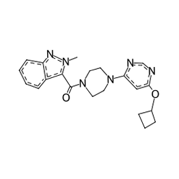 Cn1nc2ccccc2c1C(=O)N1CCN(c2cc(OC3CCC3)ncn2)CC1